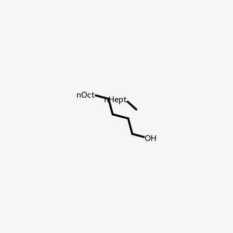 CCCCCCCC.CCCCCCCCCCCCO